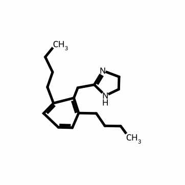 CCCCc1cccc(CCCC)c1CC1=NCCN1